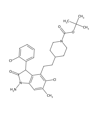 Cc1cc2c(c(CCC3CCN(C(=O)OC(C)(C)C)CC3)c1Cl)C(c1ccccc1Cl)C(=O)N2N